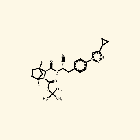 CC(C)(C)OC(=O)N1[C@@H]2CC[C@@H](C2)[C@H]1C(=O)N[C@H](C#N)Cc1ccc(-n2cc(C3CC3)nn2)cc1